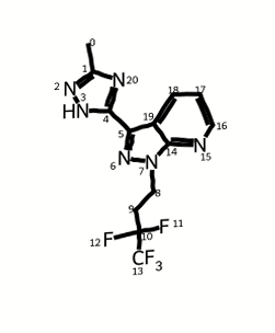 Cc1n[nH]c(-c2nn(CCC(F)(F)C(F)(F)F)c3ncccc23)n1